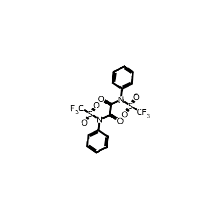 O=C(C(=O)N(c1ccccc1)S(=O)(=O)C(F)(F)F)N(c1ccccc1)S(=O)(=O)C(F)(F)F